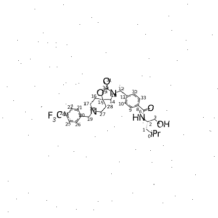 CC(C)C[C@@H](CO)NC(=O)c1ccc(CN2CC3(CCN(Cc4ccc(C(F)(F)F)cc4)CC3)OC2=O)cc1